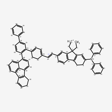 CCC1(CC)C2=C(CCC(N(c3ccccc3)c3ccccc3)=C2)c2ccc(/C=C/C3=CC=C(c4cc(-c5ccccc5)ccc4-c4ccc5c6c(cccc46)C4=C5CCC=C4)CC3)cc21